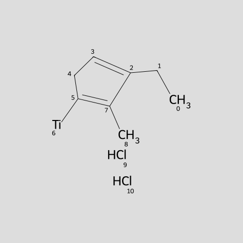 CCC1=CC[C]([Ti])=C1C.Cl.Cl